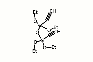 C#C[Si](OCC)(OCC)O[Si](C#C)(OCC)OCC